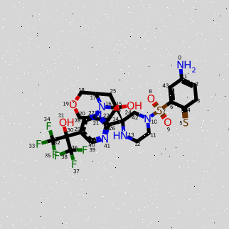 NC1=CCC(=S)C(S(=O)(=O)N2CCN[C@](CN3C4COCC3CC(O)C4)(c3ncc(C(O)(C(F)(F)F)C(F)(F)F)cn3)C2)=C1